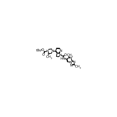 Cc1nc2nc(C)c(NC(=O)N3CCc4c(N5CCN(C(=O)OC(C)(C)C)[C@H](C)C5)ccnc43)cn2n1